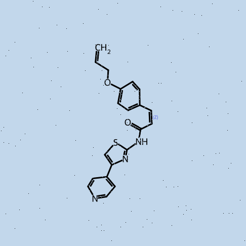 C=CCOc1ccc(/C=C\C(=O)Nc2nc(-c3ccncc3)cs2)cc1